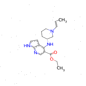 CC=CN1CCC[C@@H](Nc2c(C(=O)OCC)cnc3[nH]ccc23)C1